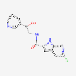 O=C(NCC(O)c1cccnc1)c1cc2cc(Cl)ncc2[nH]1